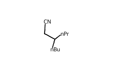 CCCCC(CC#N)CCC